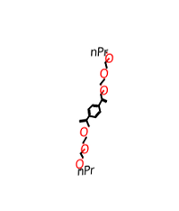 C=C(COCCOCCOCCC)c1ccc(C(=C)COCCOCCOCCC)cc1